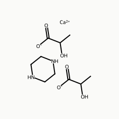 C1CNCCN1.CC(O)C(=O)[O-].CC(O)C(=O)[O-].[Ca+2]